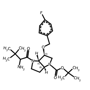 CC(C)(C)OC(=O)N1C[C@H](OCc2ccc(F)cc2)[C@@H]2[C@H]1CCN2C(=O)C(N)C(C)(C)C